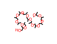 COC(C)COC(C)COC(C)COC(C)COC(C)COC(C)COC(C)COC(C)COC(C)COC(C)COC(C)COC(C)CO